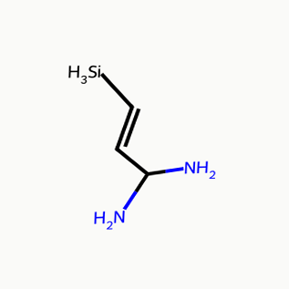 NC(N)C=C[SiH3]